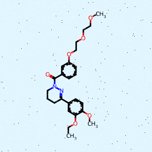 CCOc1cc(C2=NN(C(=O)c3cccc(OCCOCCOC)c3)CCC2)ccc1OC